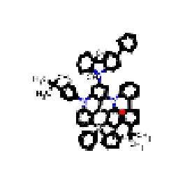 CC(C)(C)c1ccc(-c2ccccc2N2c3cc(N4c5ccc(-c6ccccc6)cc5C5(C)CCCCC45C)cc4c3B3c5c(cccc5[Si](c5ccccc5)(c5ccccc5)c5cccc2c53)N4c2ccc(C(C)(C)C)cc2)cc1